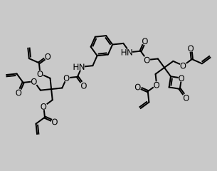 C=CC(=O)OCC(COC(=O)C=C)(COC(=O)C=C)COC(=O)NCc1cccc(CNC(=O)OCC(COC(=O)C=C)(COC(=O)C=C)C2=CC(=O)O2)c1